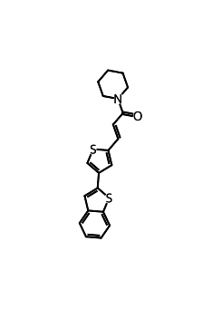 O=C(/C=C/c1cc(-c2cc3ccccc3s2)cs1)N1CCCCC1